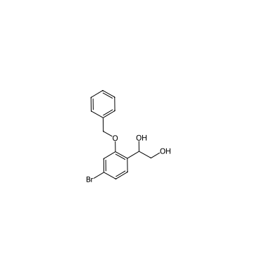 OCC(O)c1ccc(Br)cc1OCc1ccccc1